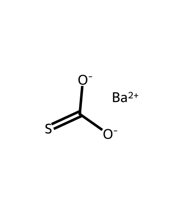 [Ba+2].[O-]C([O-])=S